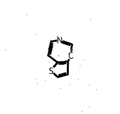 C1=Cc2sccc2CC=N1